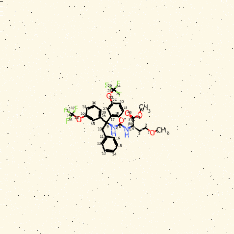 COCC[C@@H](NC(=O)NC(Cc1ccccc1)(c1cccc(OC(F)(F)F)c1)c1cccc(OC(F)(F)F)c1)C(=O)OC